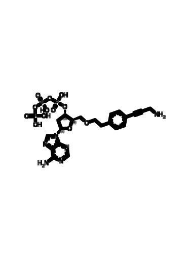 NCC#Cc1ccc(CCOC[C@H]2O[C@@H](n3cnc4c(N)ncnc43)C[C@@H]2OP(=O)(O)OP(=O)(O)OP(=O)(O)O)cc1